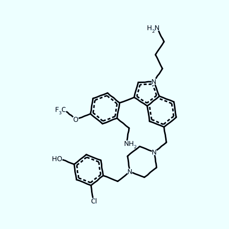 NCCCn1cc(-c2ccc(OC(F)(F)F)cc2CN)c2cc(CN3CCN(Cc4ccc(O)cc4Cl)CC3)ccc21